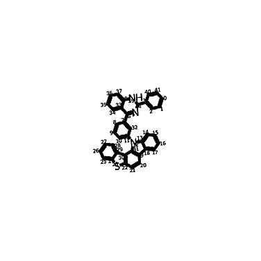 c1ccc(C2N=C(c3cccc(-n4c5ccccc5c5ccc6sc7ccccc7c6c54)c3)c3ccccc3N2)cc1